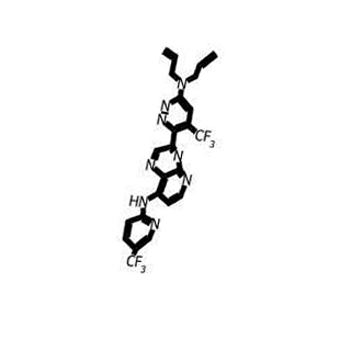 C=CCN(CC=C)c1cc(C(F)(F)F)c(-c2cnc3c(Nc4ccc(C(F)(F)F)cn4)ccnc3n2)nn1